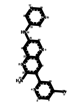 CC(C)c1cnnc(-c2cc3ncc(Nc4cncnc4)cc3nc2N)c1